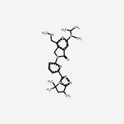 CNCc1nc(N(C)C(C)C)cc2c1CN(c1cccc(-c3nnc4n3C(C)(C)CC4C)n1)C2=O